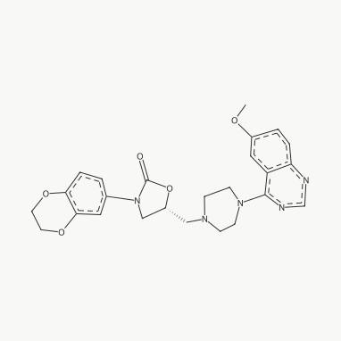 COc1ccc2ncnc(N3CCN(C[C@@H]4CN(c5ccc6c(c5)OCCO6)C(=O)O4)CC3)c2c1